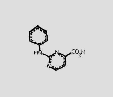 O=C(O)c1ccnc(Nc2ccccc2)n1